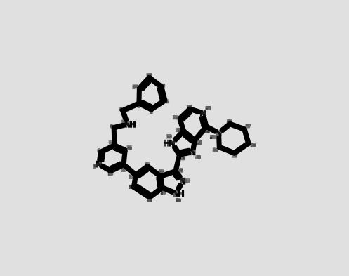 c1ccc(CNCc2cncc(-c3ccc4[nH]nc(-c5nc6c(N7CCCCC7)nccc6[nH]5)c4c3)c2)cc1